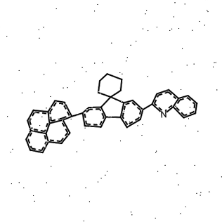 c1ccc2nc(-c3ccc4c(c3)C3(CCCCC3)c3cc(-c5ccc6ccc7cccc8ccc5c6c78)ccc3-4)ccc2c1